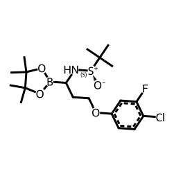 CC(C)(C)[S@@+]([O-])NC(CCOc1ccc(Cl)c(F)c1)B1OC(C)(C)C(C)(C)O1